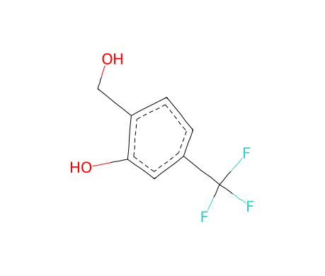 OCc1ccc(C(F)(F)F)cc1O